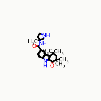 CC1(NC(=O)c2ccc3[nH]c4c(c3c2)C(C)(C)CC(C)(C)C4=O)CCNC1